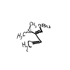 C=CC(=CCCCC)[Si](C)C